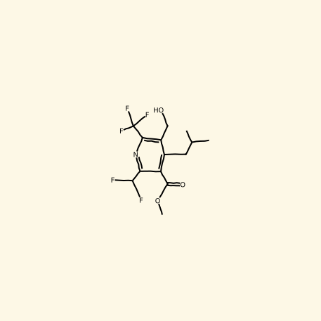 COC(=O)c1c(C(F)F)nc(C(F)(F)F)c(CO)c1CC(C)C